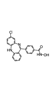 O=C(NO)c1ccc(C2=Nc3cc(Cl)ccc3Nc3ccccc32)cc1